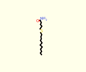 CCCCCCCCCCCCSCCCCC(N)=O